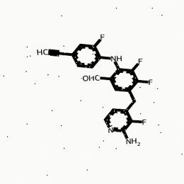 C#Cc1ccc(Nc2c([C]=O)cc(Cc3ccnc(N)c3F)c(F)c2F)c(F)c1